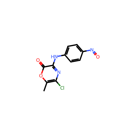 Cc1oc(=O)c(Nc2ccc(N=O)cc2)nc1Cl